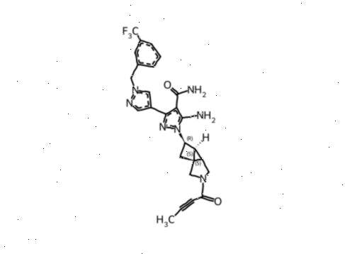 CC#CC(=O)N1CC2[C@@H]3[C@H](n4nc(-c5cnn(Cc6cccc(C(F)(F)F)c6)c5)c(C(N)=O)c4N)C[C@]23C1